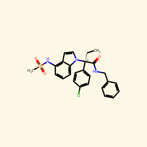 CC[C@](C(=O)NCc1ccccc1)(c1ccc(Cl)cc1)n1ccc2c(NS(C)(=O)=O)cccc21